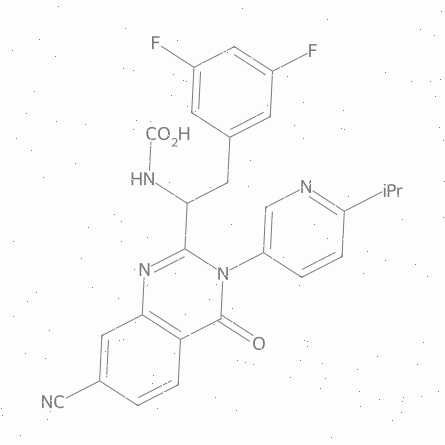 CC(C)c1ccc(-n2c(C(Cc3cc(F)cc(F)c3)NC(=O)O)nc3cc(C#N)ccc3c2=O)cn1